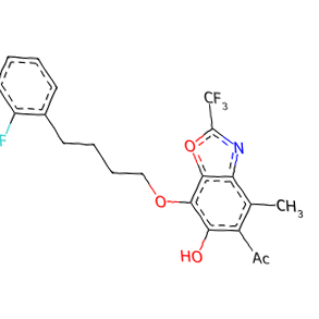 CC(=O)c1c(O)c(OCCCCc2ccccc2F)c2oc(C(F)(F)F)nc2c1C